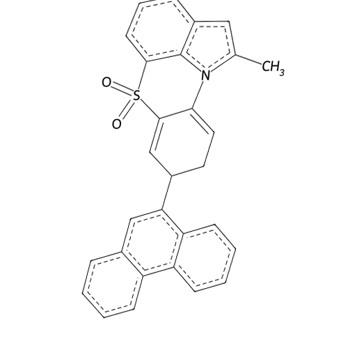 Cc1cc2cccc3c2n1C1=CCC(c2cc4ccccc4c4ccccc24)C=C1S3(=O)=O